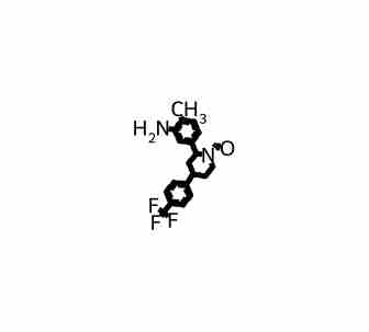 Cc1ccc(C2CC(c3ccc(C(F)(F)F)cc3)CCN2C=O)cc1N